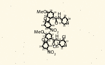 COc1ccc(C(=O)Nc2c(Cl)cncc2Cl)c2c1oc1ccc([N+](=O)[O-])cc12.COc1ccc(C(=O)Nc2ccncc2)c2c1oc1ccc([N+](=O)[O-])cc12